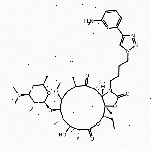 CC[C@H]1OC(=O)[C@H](C)[C@@H](O)[C@H](C)[C@@H](O[C@@H]2O[C@H](C)C[C@H](N(C)C)[C@H]2C)[C@@](C)(OC)C[C@@H](C)C(=O)[C@H](C)[C@@H]2N(CCCCn3cc(-c4cccc(N)c4)nn3)C(=O)O[C@@]21C